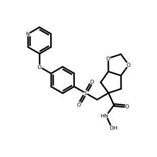 O=C(NO)C1(CS(=O)(=O)c2ccc(Oc3cccnc3)cc2)CC2OCOC2C1